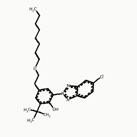 CCCCCCCCOCCc1cc(-n2nc3ccc(Cl)cc3n2)c(O)c(C(C)(C)C)c1